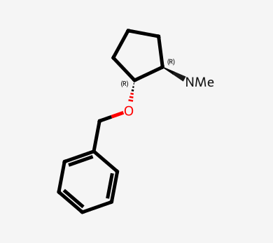 CN[C@@H]1CCC[C@H]1OCc1ccccc1